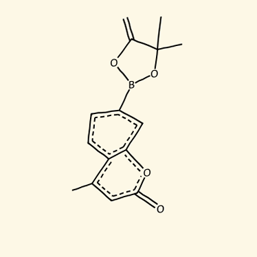 C=C1OB(c2ccc3c(C)cc(=O)oc3c2)OC1(C)C